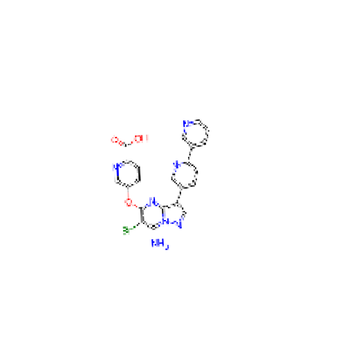 Nc1c(Br)c(Oc2ccc(C(=O)O)nc2)nc2c(-c3ccc(-c4cccnc4)nc3)cnn12